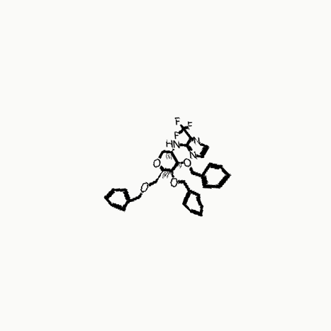 FC(F)(F)c1nccnc1N[C@H]1CO[C@H](COCc2ccccc2)[C@H](OCc2ccccc2)[C@@H]1OCc1ccccc1